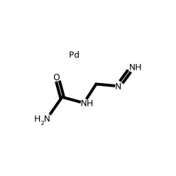 N=NCNC(N)=O.[Pd]